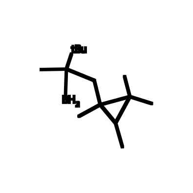 BC(C)(CC1(C)C(C)C1(C)C)C(C)(C)C